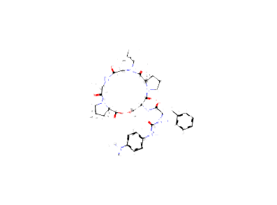 CCCN1C(=O)[C@@H]2CCCN2C(=O)[C@@H](NC(=O)[C@H](Cc2ccccc2)NC(=O)Nc2ccc(N(C)C)cc2)[C@H](C)OC(=O)[C@@H]2C[C@@H](C)CN2C(=O)[C@H](C)NC(=O)[C@@H]1CC